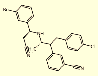 C[C@H](N[C@@H](CC#N)c1cccc(Br)c1)C(Cc1ccc(Cl)cc1)c1cccc(C#N)c1